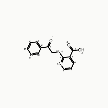 O=C(CNc1ncccc1C(=O)O)c1cccnc1